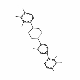 Oc1ccc(-c2ccc(C3CCC(c4ccc(O)c(F)c4F)CC3)c(F)c2)c(F)c1F